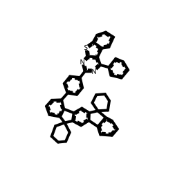 c1ccc(-c2nc(-c3ccc(-c4cccc5c4-c4cc6c(cc4C54CCCCC4)-c4ccccc4C64CCCCC4)cc3)nc3sc4ccccc4c23)cc1